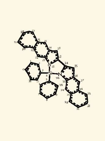 c1ccc([Si]2(c3ccccc3)n3c(cc4cc5ccccc5cc43)-c3cc4cc5ccccc5cc4n32)cc1